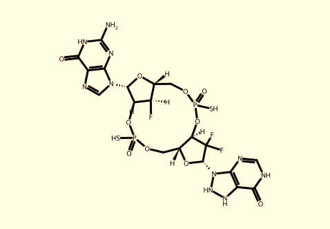 Nc1nc2c(ncn2[C@@H]2O[C@@H]3COP(=O)(S)O[C@@H]4[C@@H](COP(=O)(S)O[C@@H]2[C@@H]3F)O[C@@H](N2NNc3c2nc[nH]c3=O)C4(F)F)c(=O)[nH]1